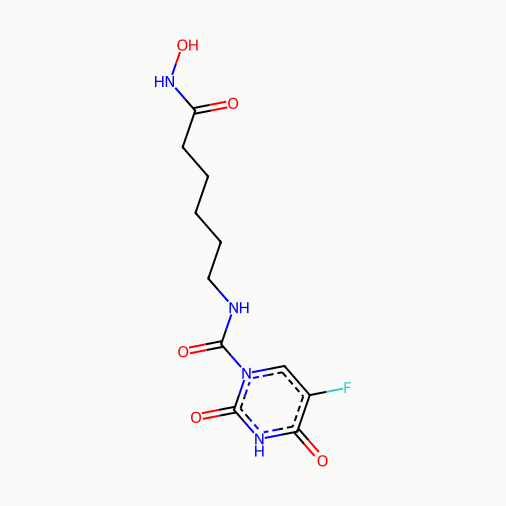 O=C(CCCCCNC(=O)n1cc(F)c(=O)[nH]c1=O)NO